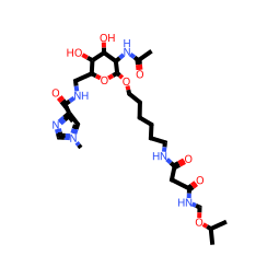 CC(=O)NC1C(OCCCCCCNC(=O)CC(=O)NCOC(C)C)OC(CNC(=O)c2cn(C)cn2)C(O)C1O